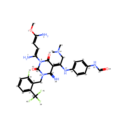 CO/C(N)=C/C=C(\N)N1C(=O)/C(=C(\CN(C)C)Nc2ccc(NC=O)cc2)C(=N)N(Cc2c(F)cccc2C(F)(F)F)C1=O